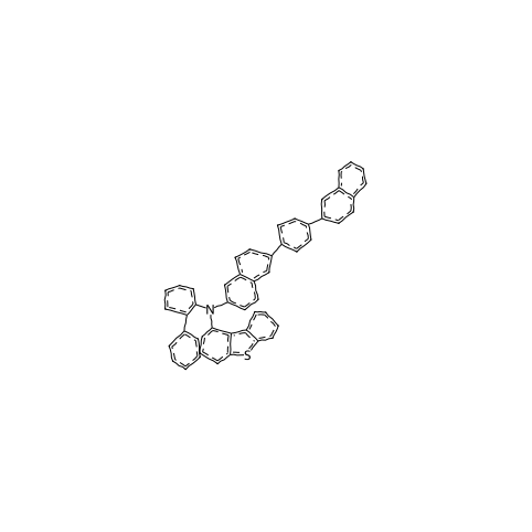 c1ccc(-c2ccccc2N(c2ccc3cc(-c4ccc(-c5ccc6ccccc6c5)cc4)ccc3c2)c2cccc3sc4ccccc4c23)cc1